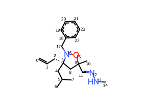 C=CC[C@@]1(CC(C)C)CC(C)(/C=N/NC)ON1Cc1ccccc1